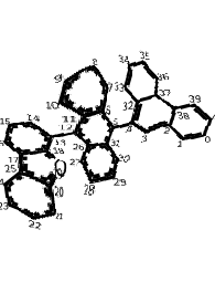 C1=CC2=CC(c3c4ccccc4c(-c4cccc5c4oc4ccccc45)c4ccccc34)=C3C=CC=CC3C2C=C1